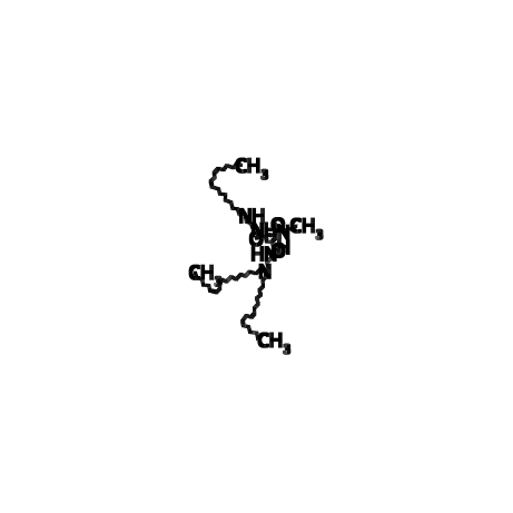 CCCCC/C=C\C/C=C\CCCCCCCCNCCCNC(=O)c1cc(C(=O)NCCC)cc(C(=O)NCCCN(CCCCCCCC/C=C\C/C=C\CCCCC)CCCCCCCC/C=C\C/C=C\CCCCC)c1